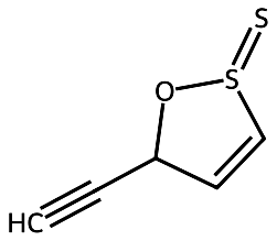 C#CC1C=CS(=S)O1